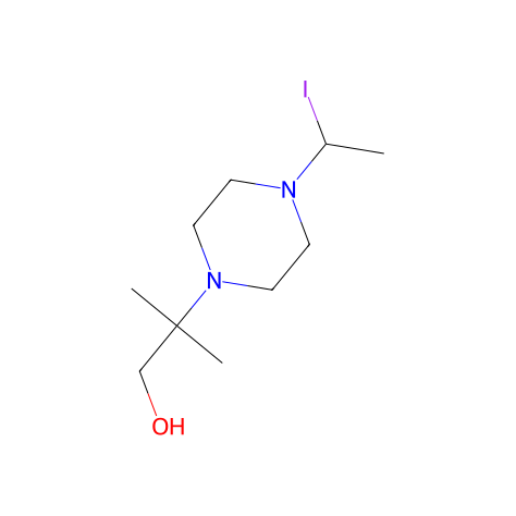 CC(I)N1CCN(C(C)(C)CO)CC1